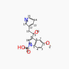 COc1ccc2c(c1)c(C(=O)Cc1cccnc1)cn2C(=O)O